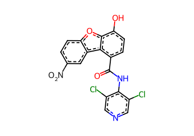 O=C(Nc1c(Cl)cncc1Cl)c1ccc(O)c2oc3ccc([N+](=O)[O-])cc3c12